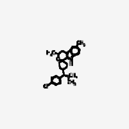 Cc1ccc2[nH]c3c(c2c1)CC(C)OC31CCC(C(c2ccc(Cl)cc2)N(C)C)CC1